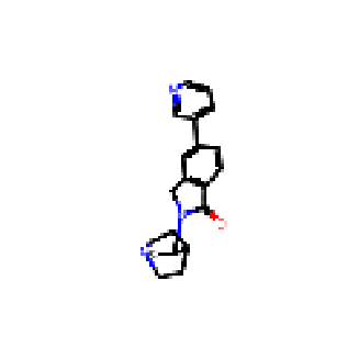 O=C1c2ccc(-c3cccnc3)cc2CN1C1CN2CCC1CC2